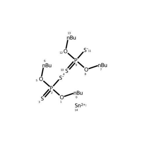 CCCCOP(=S)([S-])OCCCC.CCCCOP(=S)([S-])OCCCC.[Sn+2]